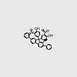 C#Cc1c(-c2ccccc2)ccc2c1C(c1ccc(O)c([N+](=O)[O-])c1)(c1ccc(O)c([N+](=O)[O-])c1)c1cc(-c3ccccc3)ccc1-2